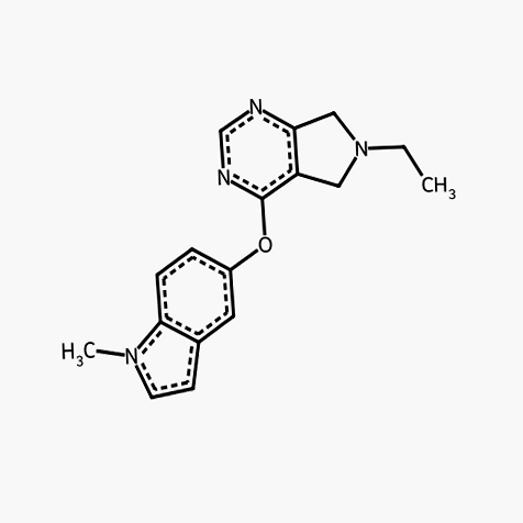 CCN1Cc2ncnc(Oc3ccc4c(ccn4C)c3)c2C1